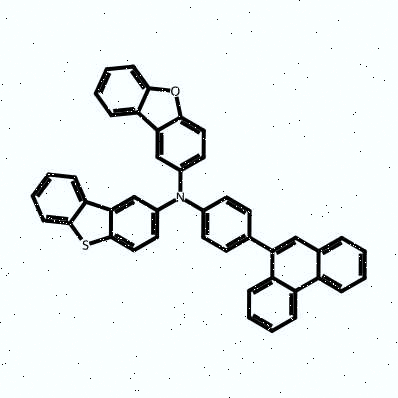 c1ccc2c(c1)cc(-c1ccc(N(c3ccc4oc5ccccc5c4c3)c3ccc4sc5ccccc5c4c3)cc1)c1ccccc12